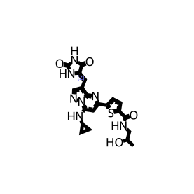 CC(O)CNC(=O)c1ccc(-c2cc(NC3CC3)n3ncc(/C=C4\NC(=O)NC4=O)c3n2)s1